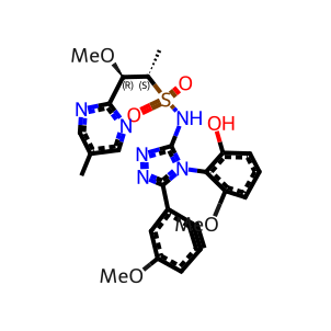 COc1cc#cc(-c2nnc(NS(=O)(=O)[C@@H](C)[C@H](OC)c3ncc(C)cn3)n2-c2c(O)cccc2OC)c1